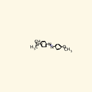 COc1ccc(/N=N/c2ccc(N(C)C)cc2)cc1